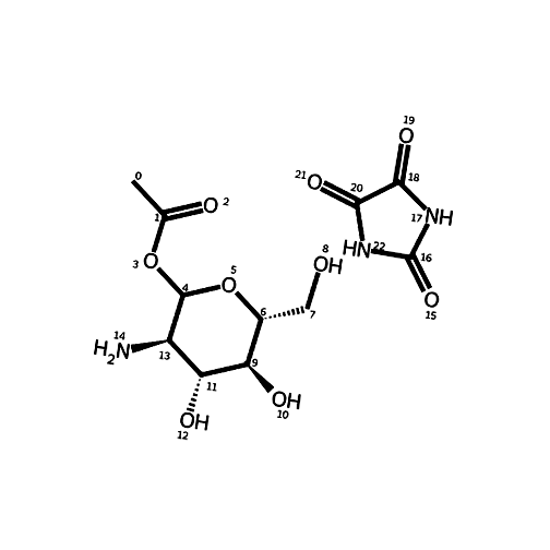 CC(=O)OC1O[C@H](CO)[C@@H](O)[C@H](O)[C@H]1N.O=C1NC(=O)C(=O)N1